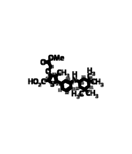 COC(=O)COc1c(C(=O)O)sc(-c2cccc(NC3CC(C)(C)CC(C)(C)C3)c2)c1C